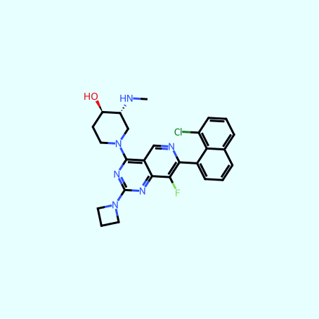 CN[C@@H]1CN(c2nc(N3CCC3)nc3c(F)c(-c4cccc5cccc(Cl)c45)ncc23)CC[C@H]1O